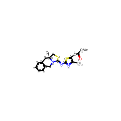 COC(=O)Cc1sc(N=C2SC[C@@H]3Cc4ccccc4CN23)nc1C